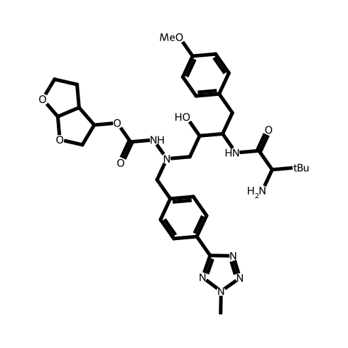 COc1ccc(CC(NC(=O)C(N)C(C)(C)C)C(O)CN(Cc2ccc(-c3nnn(C)n3)cc2)NC(=O)OC2COC3OCCC23)cc1